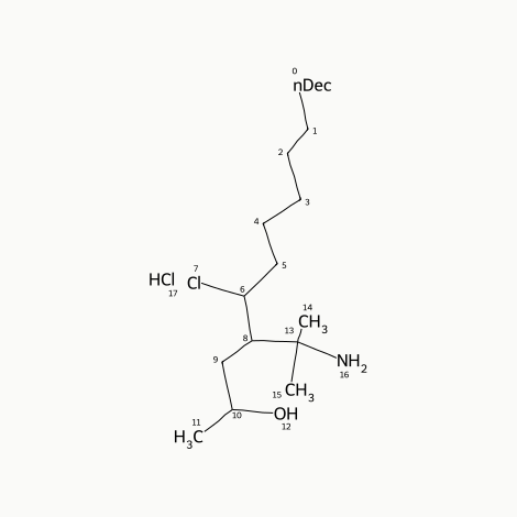 CCCCCCCCCCCCCCCC(Cl)C(CC(C)O)C(C)(C)N.Cl